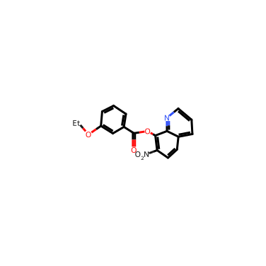 CCOc1cccc(C(=O)Oc2c([N+](=O)[O-])ccc3cccnc23)c1